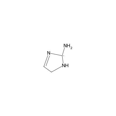 N[C]1N=CCN1